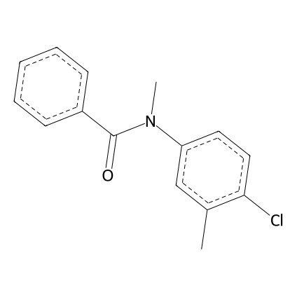 Cc1cc(N(C)C(=O)c2ccccc2)ccc1Cl